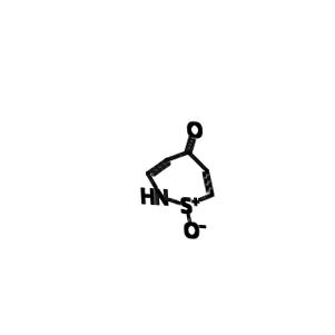 O=C1C=CN[S+]([O-])C=C1